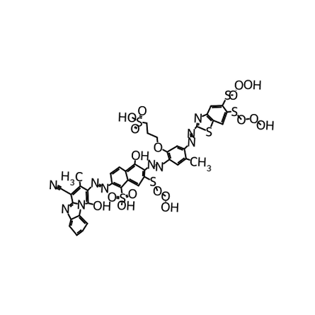 Cc1cc(N=Nc2c(SOOO)cc3c(S(=O)(=O)O)c(N=Nc4c(C)c(C#N)c5nc6ccccc6n5c4O)ccc3c2O)c(OCCCS(=O)(=O)O)cc1N=Nc1nc2cc(SOOO)c(SOOO)cc2s1